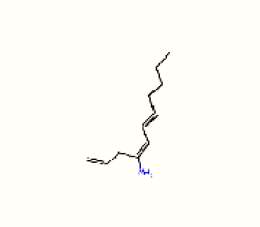 C=CC/C(N)=C\C=C\CCCC